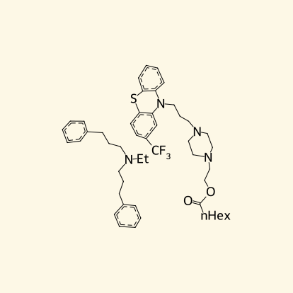 CCCCCCC(=O)OCCN1CCN(CCCN2c3ccccc3Sc3ccc(C(F)(F)F)cc32)CC1.CCN(CCCc1ccccc1)CCCc1ccccc1